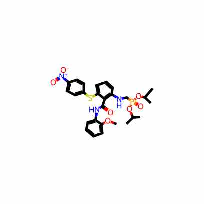 COc1ccccc1NC(=O)c1c(NCP(=O)(OC(C)C)OC(C)C)cccc1Sc1ccc([N+](=O)[O-])cc1